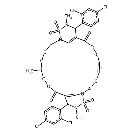 CC1CCCN2C=C(C(=O)OC/C=C\CCN3C=C(C(=O)OC1)C(c1ccc(Cl)cc1Cl)N(C)S3(=O)=O)C(c1ccc(Cl)cc1Cl)N(C)S2(=O)=O